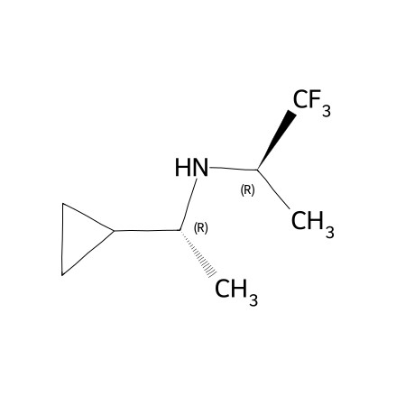 C[C@@H](N[C@H](C)C(F)(F)F)C1CC1